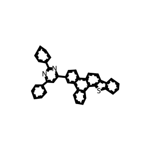 c1ccc(-c2cc(-c3ccc4c(c3)c3ccccc3c3c4ccc4c5ccccc5sc43)nc(-c3ccccc3)n2)cc1